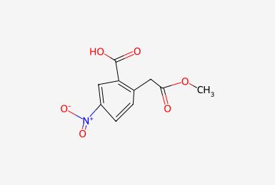 COC(=O)Cc1ccc([N+](=O)[O-])cc1C(=O)O